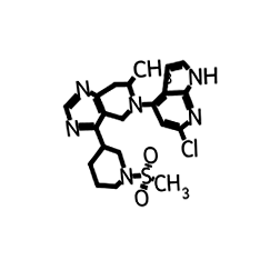 CC1Cc2ncnc(C3CCCN(S(C)(=O)=O)C3)c2CN1c1cc(Cl)nc2[nH]ccc12